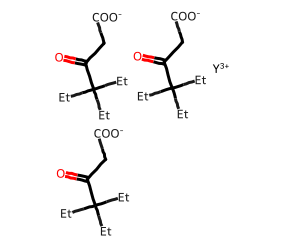 CCC(CC)(CC)C(=O)CC(=O)[O-].CCC(CC)(CC)C(=O)CC(=O)[O-].CCC(CC)(CC)C(=O)CC(=O)[O-].[Y+3]